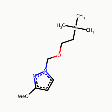 COc1ccn(COCC[Si](C)(C)C)n1